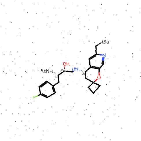 CC(=O)N[C@@H](Cc1ccc(F)cc1)[C@H](O)CN[C@H]1CC2(CCC2)Oc2cnc(CC(C)(C)C)cc21